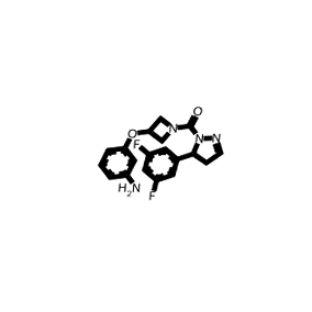 Nc1cccc(OC2CN(C(=O)N3N=CCC3c3cc(F)cc(F)c3)C2)c1